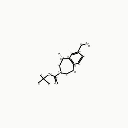 C[C@H]1CN(C(=O)OC(C)(C)C)CCc2ccc(CBr)cc21